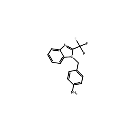 Nc1ccc(Cn2c(C(F)(F)F)nc3ccccc32)cc1